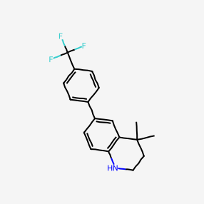 CC1(C)CCNc2ccc(-c3ccc(C(F)(F)F)cc3)cc21